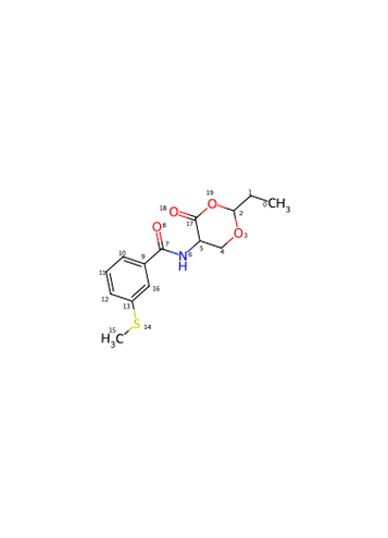 CCC1OCC(NC(=O)c2cccc(SC)c2)C(=O)O1